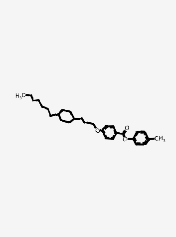 CCCCCCCC1CCC(CCCOc2ccc(C(=O)Oc3ccc(C)cc3)cc2)CC1